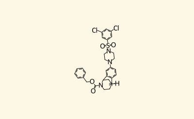 O=C(OCc1ccccc1)N1CC[C@@H]2CC1c1cc(N3CCN(S(=O)(=O)c4cc(Cl)cc(Cl)c4)CC3)ccc12